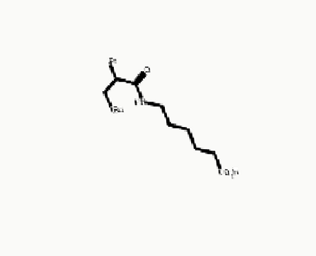 CC(C)C(CC(C)(C)C)C(=O)NCCCCCC(=O)O